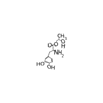 CC(O)COC(=O)[C@@H](N)Cc1ccc(O)c(O)c1